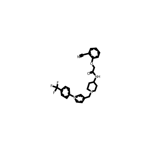 N#Cc1ccccc1OCC(=O)NC1CCN(Cc2ccn(-c3ccc(C(F)(F)F)cc3)c2)CC1